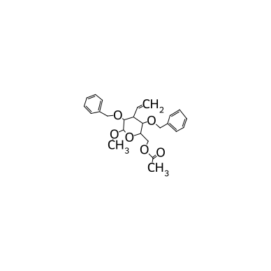 C=CC1C(OCc2ccccc2)C(COC(C)=O)OC(OC)C1OCc1ccccc1